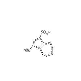 CCCCc1cc(S(=O)(=O)O)c2cccccc1-2